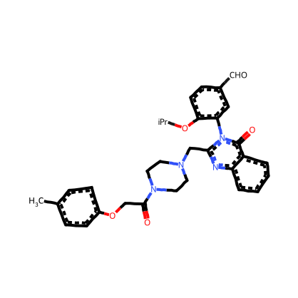 Cc1ccc(OCC(=O)N2CCN(Cc3nc4ccccc4c(=O)n3-c3cc(C=O)ccc3OC(C)C)CC2)cc1